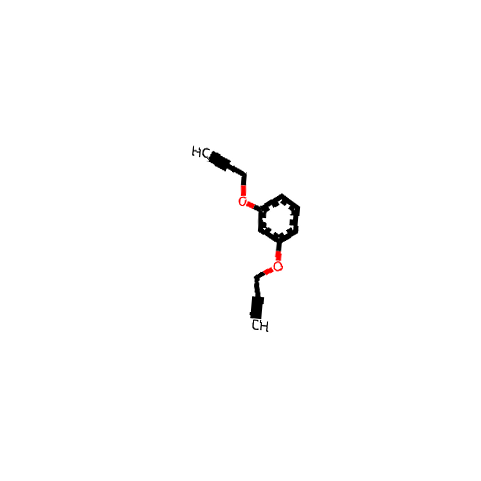 C#CCOc1cccc(OCC#C)c1